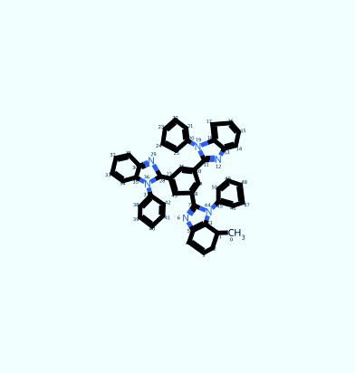 CC1CC=Cc2nc(-c3cc(-c4nc5ccccc5n4-c4ccccc4)cc(C4N=C5C=CC=CC5N4c4ccccc4)c3)n(-c3ccccc3)c21